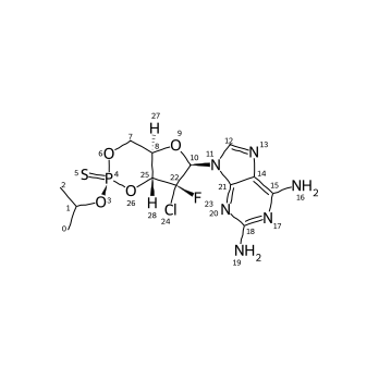 CC(C)O[P@@]1(=S)OC[C@H]2O[C@@H](n3cnc4c(N)nc(N)nc43)[C@](F)(Cl)[C@@H]2O1